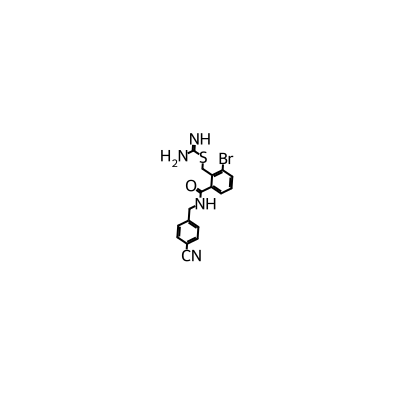 N#Cc1ccc(CNC(=O)c2cccc(Br)c2CSC(=N)N)cc1